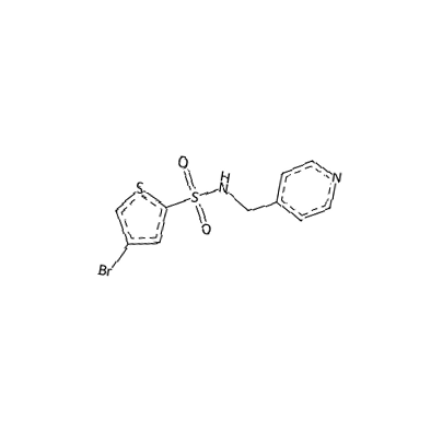 O=S(=O)(NCc1ccncc1)c1cc(Br)cs1